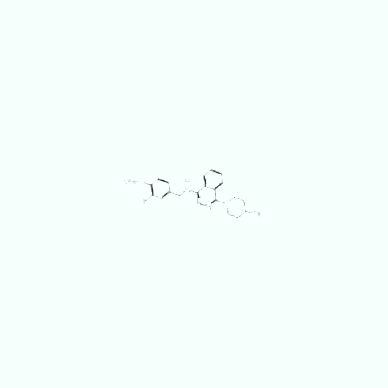 COc1ccc(CNc2nnc(N3CCC(O)CC3)c3ccccc23)cc1I